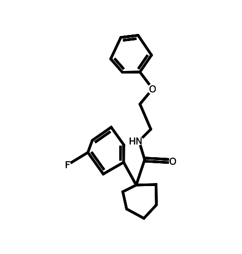 O=C(NCCOc1ccccc1)C1(c2cccc(F)c2)CCCCC1